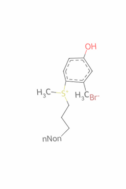 CCCCCCCCCCCC[S+](C)c1ccc(O)cc1C.[Br-]